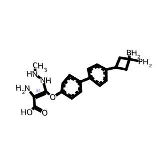 BC1(P)CC(c2ccc(-c3ccc(O/C(NNC)=C(/N)C(=O)O)cc3)cc2)C1